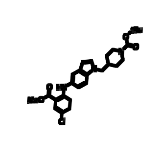 COC(=O)C1=C(Nc2ccc3c(ccn3CC3CCN(C(=O)OC(C)(C)C)CC3)c2)CCC(Cl)=C1